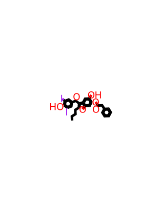 CCCCc1oc2cc(OC(=O)Cc3ccccc3)c(O)cc2c1C(=O)c1cc(I)c(O)c(I)c1